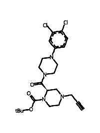 C#CCN1CCN(C(=O)OC(C)(C)C)[C@@H](C(=O)N2CCN(c3ccc(Cl)c(Cl)c3)CC2)C1